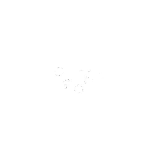 CCCc1ccc(-c2nc(-c3cccc4c3CCN4CC3(NC(=O)O)COC(C)(C)OC3)no2)cc1CCC